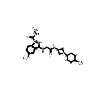 Cc1ccc2c(c1)c(NCC(=O)NC1CN(C3CCC(C)CC3)C1)nn2C(=O)NC(C)(C)C